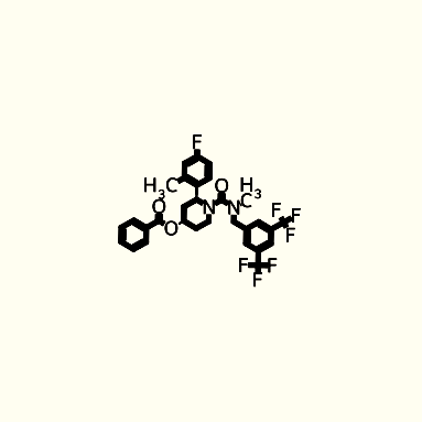 Cc1cc(F)ccc1[C@@H]1C[C@@H](OC(=O)c2ccccc2)CCN1C(=O)N(C)Cc1cc(C(F)(F)F)cc(C(F)(F)F)c1